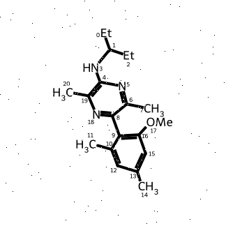 CCC(CC)Nc1nc(C)c(-c2c(C)cc(C)cc2OC)nc1C